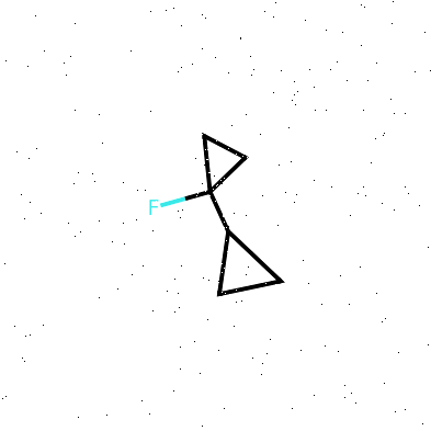 FC1([C]2CC2)CC1